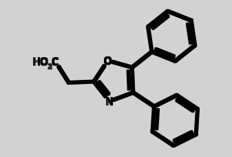 O=C(O)Cc1nc(-c2ccccc2)c(-c2ccccc2)o1